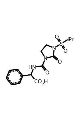 CC(C)S(=O)(=O)N1CCN(C(=O)NC(C(=O)O)c2ccccc2)C1=O